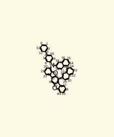 c1ccc(-c2ccc(N(c3ccc4ccccc4c3)c3cccc4c3oc3c(-c5ccc6ccccc6c5)c5c(cc34)oc3ccccc35)cc2)cc1